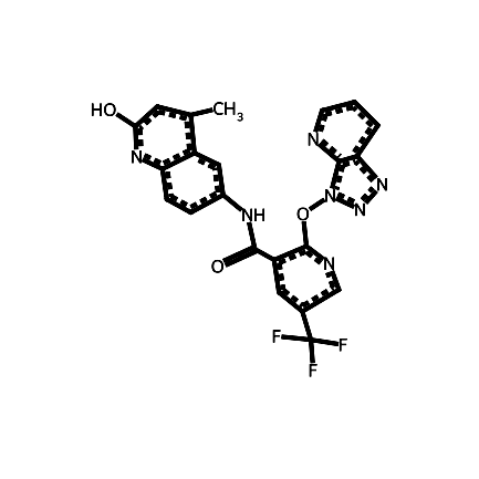 Cc1cc(O)nc2ccc(NC(=O)c3cc(C(F)(F)F)cnc3On3nnc4cccnc43)cc12